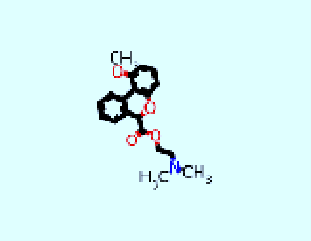 COc1cccc2c1-c1ccccc1C(C(=O)OCCN(C)C)O2